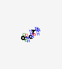 O=C(Nc1ccnc(NC(=O)C2CC2c2ncn[nH]2)c1)c1c(Cl)cccc1Cl